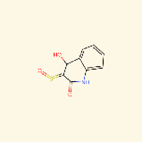 O=S=C1C(=O)Nc2ccccc2C1O